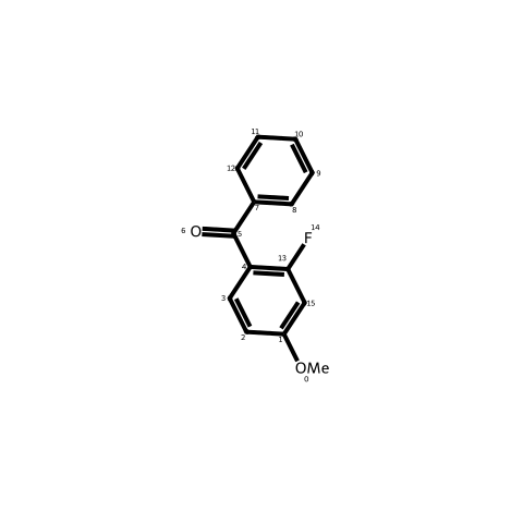 COc1ccc(C(=O)c2ccccc2)c(F)c1